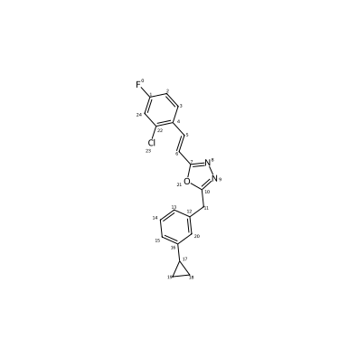 Fc1ccc(/C=C/c2nnc(Cc3cccc(C4CC4)c3)o2)c(Cl)c1